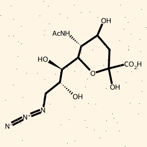 CC(=O)N[C@@H]1C(O)CC(O)(C(=O)O)OC1[C@H](O)[C@H](O)CN=[N+]=[N-]